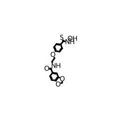 O=C(NCCOc1ccc(C(=S)NO)cc1)c1ccc2c(c1)OCO2